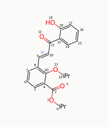 CC(C)OC(=O)c1cccc(/C=C/C(=O)c2ccccc2O)c1OC(C)C